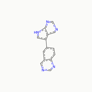 c1ncc2cc(-c3c[nH]c4ncncc34)ccc2n1